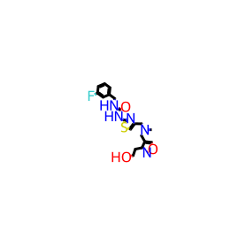 CN(Cc1csc(NC(=O)NCc2cccc(F)c2)n1)Cc1conc1CCO